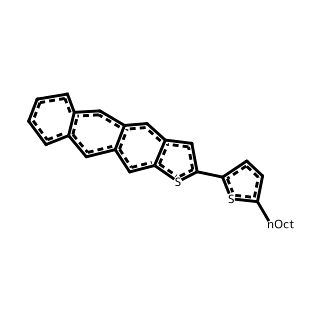 CCCCCCCCc1ccc(-c2cc3cc4cc5ccccc5cc4cc3s2)s1